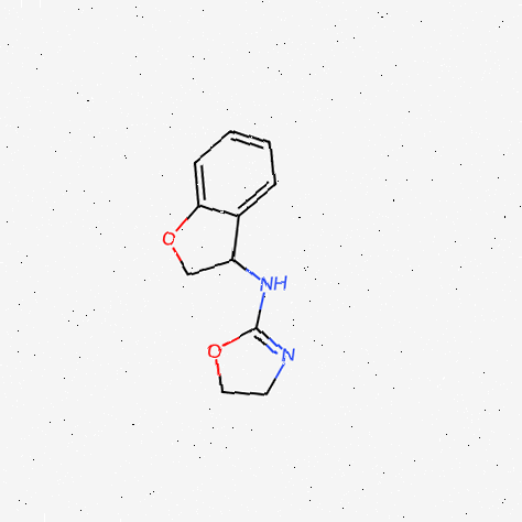 c1ccc2c(c1)OCC2NC1=NCCO1